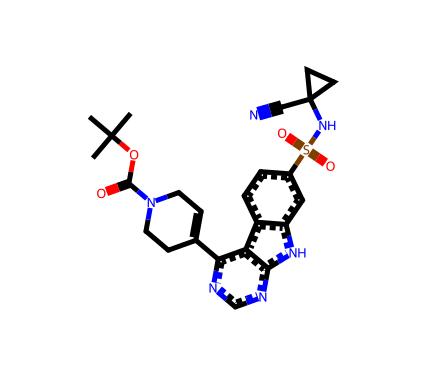 CC(C)(C)OC(=O)N1CC=C(c2ncnc3[nH]c4cc(S(=O)(=O)NC5(C#N)CC5)ccc4c23)CC1